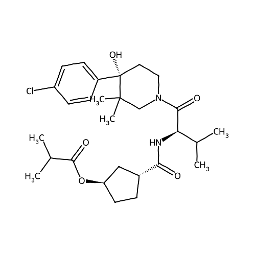 CC(C)C(=O)O[C@@H]1CC[C@@H](C(=O)N[C@@H](C(=O)N2CC[C@](O)(c3ccc(Cl)cc3)C(C)(C)C2)C(C)C)C1